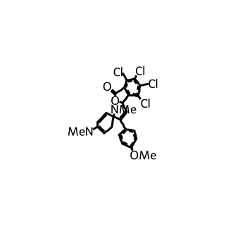 CNC1=CCC(NC)(C(=CC2OC(=O)c3c(Cl)c(Cl)c(Cl)c(Cl)c32)c2ccc(OC)cc2)C=C1